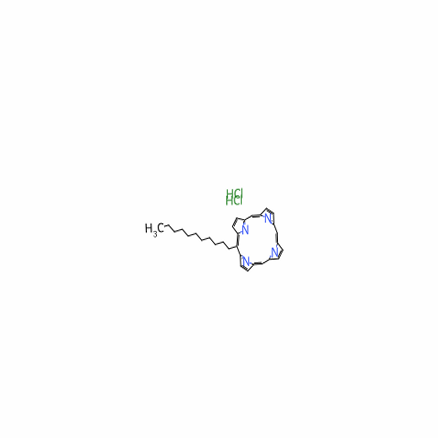 CCCCCCCCCCCC1=C2C=CC(=N2)C=C2C=CC(=N2)C=C2C=CC(=N2)C=C2C=CC1=N2.Cl.Cl